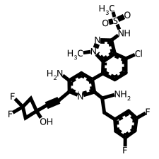 Cn1nc(NS(C)(=O)=O)c2c(Cl)ccc(-c3cc(N)c(C#CC4(O)CC(F)(F)C4)nc3C(N)Cc3cc(F)cc(F)c3)c21